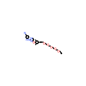 C#CCOCCOCCOCCOCCOCC#Cc1cc(C)c(Oc2ccnc(Nc3ccc(C#N)cc3)n2)c(C)c1